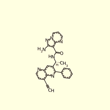 C#Cc1ccnc2cc([C@@H](C)NC(=O)c3c(N)nn4cccnc34)c(-c3ccccc3)nc12